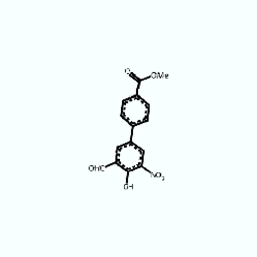 COC(=O)c1ccc(-c2cc(C=O)c(O)c([N+](=O)[O-])c2)cc1